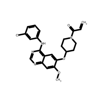 C=CC(=O)N1CCC(Oc2cc3c(Nc4cccc(Cl)c4)ncnc3cc2OC)CC1